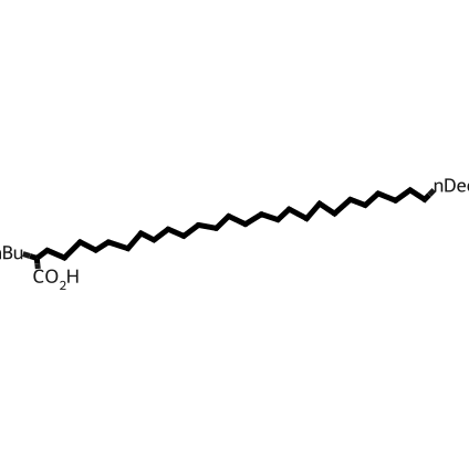 CCCCCCCCCCCCCCCCCCCCCCCCCCCCCCCCCCCCC(CCCC)C(=O)O